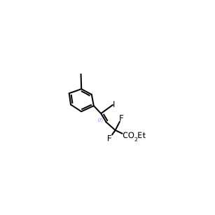 CCOC(=O)C(F)(F)/C=C(\I)c1cccc(C)c1